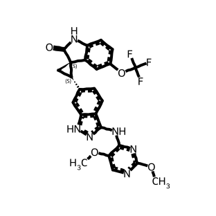 COc1ncc(OC)c(Nc2n[nH]c3cc([C@@H]4C[C@]45C(=O)Nc4ccc(OC(F)(F)F)cc45)ccc23)n1